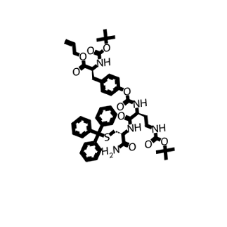 C=CCOC(=O)[C@H](Cc1ccc(OC(=O)N[C@@H](CCNC(=O)OC(C)(C)C)C(=O)N[C@@H](CSC(c2ccccc2)(c2ccccc2)c2ccccc2)C(N)=O)cc1)NC(=O)OC(C)(C)C